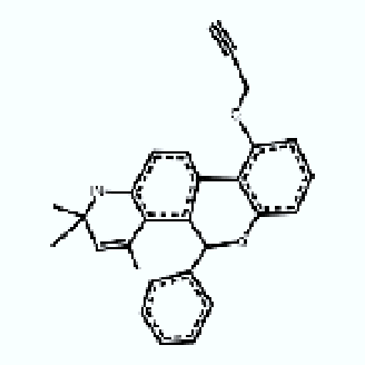 C#CCOc1cccc2c1-c1ccc3c(c1C(c1ccccc1)O2)C(C)=CC(C)(C)N3